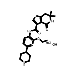 CCOc1nc(C2CCNCC2)ccc1NC(=O)c1coc2c1C(=O)NC(C)(C)C2.Cl.Cl